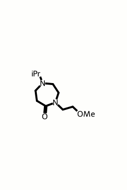 COCCN1CCN(C(C)C)CCC1=O